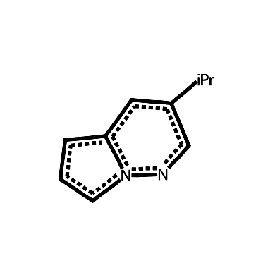 CC(C)c1cnn2cccc2c1